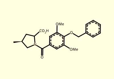 COc1cc(C(=O)N2C[C@@H](C)CC2C(=O)O)cc(OC)c1OCc1ccccc1